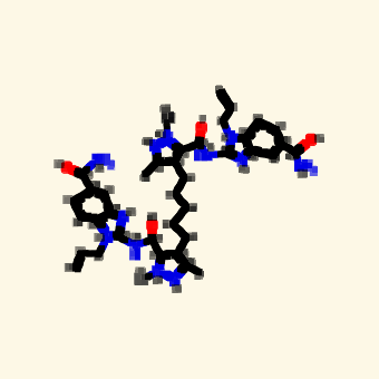 C=CCn1c(NC(=O)c2c(CCCCCc3c(C)nn(CC)c3C(=O)Nc3nc4cc(C(N)=O)ccc4n3CC=C)c(C)nn2CC)nc2cc(C(N)=O)ccc21